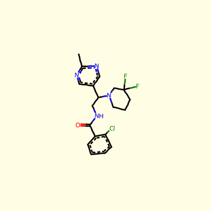 Cc1ncc(C(CNC(=O)c2ccccc2Cl)N2CCCC(F)(F)C2)cn1